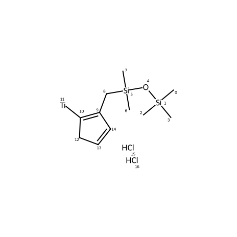 C[Si](C)(C)O[Si](C)(C)CC1=[C]([Ti])CC=C1.Cl.Cl